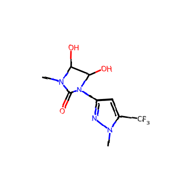 CN1C(=O)N(c2cc(C(F)(F)F)n(C)n2)C(O)C1O